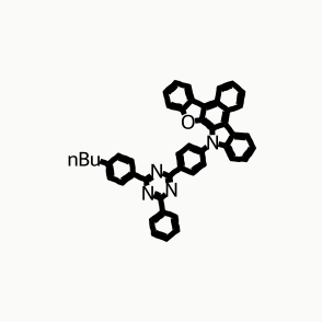 CCCCc1ccc(-c2nc(-c3ccccc3)nc(-c3ccc(-n4c5ccccc5c5c6ccccc6c6c7ccccc7oc6c54)cc3)n2)cc1